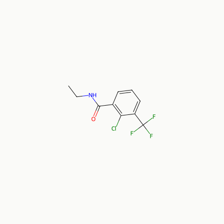 CCNC(=O)c1cccc(C(F)(F)F)c1Cl